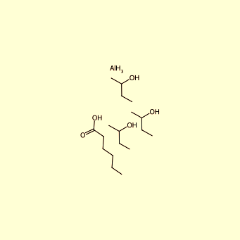 CCC(C)O.CCC(C)O.CCC(C)O.CCCCCC(=O)O.[AlH3]